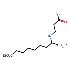 CCOC(=O)CCCCCCC(NCCC(=O)CC)C(=O)OCC